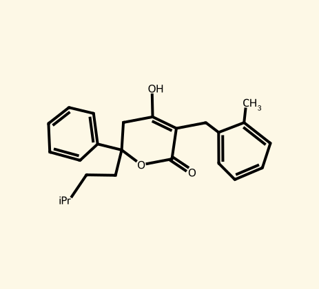 Cc1ccccc1CC1=C(O)CC(CCC(C)C)(c2ccccc2)OC1=O